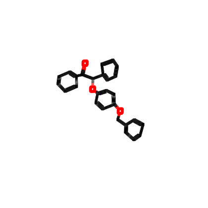 O=C(c1ccccc1)C(Oc1ccc(OCc2ccccc2)cc1)c1ccccc1